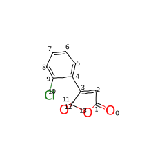 O=C1C=C(c2ccccc2Cl)C(=O)O1